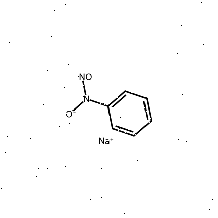 O=NN([O-])c1ccccc1.[Na+]